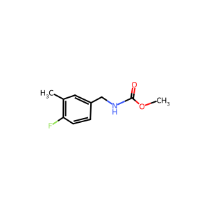 COC(=O)NCc1ccc(F)c(C)c1